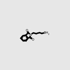 BCCCCN1C(=O)c2ccccc2C1=O